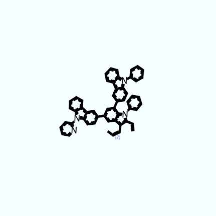 C=Cc1c(/C=C\C)c2cc(-c3ccc4c(c3)c3ccccc3n4-c3ccccn3)cc(-c3ccc4c(c3)c3ccccc3n4-c3ccccc3)c2n1-c1ccccc1